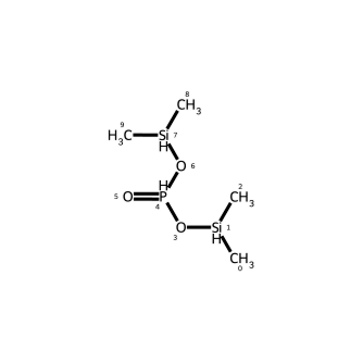 C[SiH](C)O[PH](=O)O[SiH](C)C